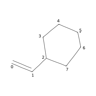 C=CC1CC[CH]CC1